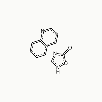 O=c1nc[nH]o1.c1ccc2ncccc2c1